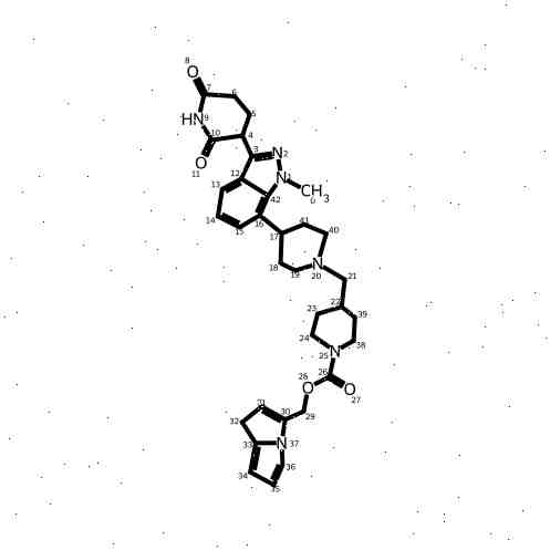 Cn1nc(C2CCC(=O)NC2=O)c2cccc(C3CCN(CC4CCN(C(=O)OCC5=CCc6cccn65)CC4)CC3)c21